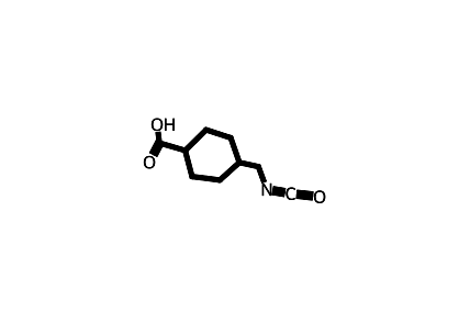 O=C=NCC1CCC(C(=O)O)CC1